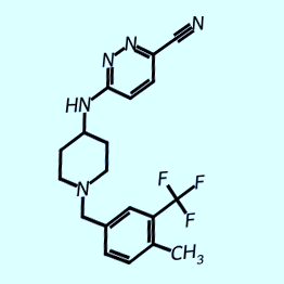 Cc1ccc(CN2CCC(Nc3ccc(C#N)nn3)CC2)cc1C(F)(F)F